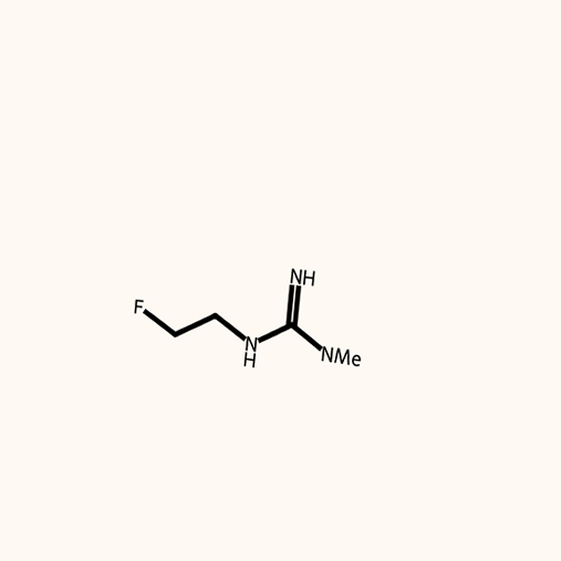 CNC(=N)NCCF